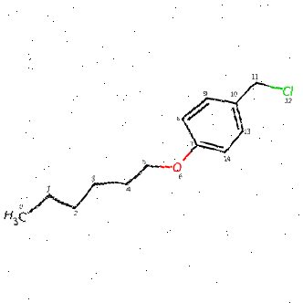 CCCCCCOc1ccc(CCl)cc1